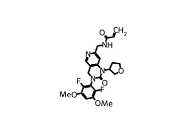 C=CC(=O)NCc1cc2c(cn1)CN(c1c(F)c(OC)cc(OC)c1F)C(=O)N2C1CCOC1